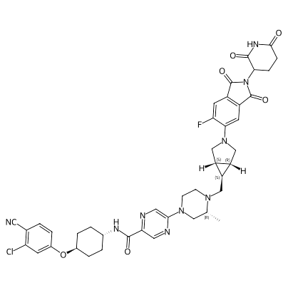 C[C@@H]1CN(c2cnc(C(=O)N[C@H]3CC[C@H](Oc4ccc(C#N)c(Cl)c4)CC3)cn2)CCN1C[C@H]1[C@@H]2CN(c3cc4c(cc3F)C(=O)N(C3CCC(=O)NC3=O)C4=O)C[C@@H]21